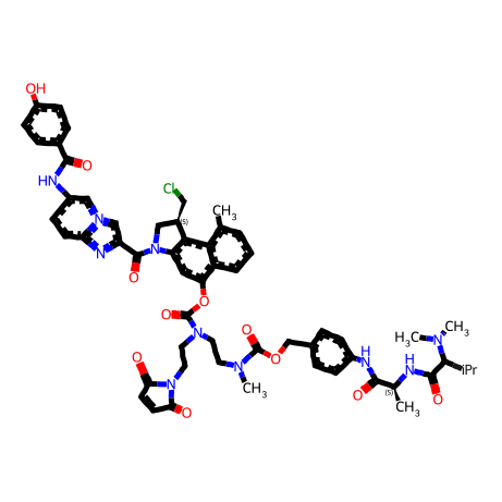 Cc1cccc2c(OC(=O)N(CCN(C)C(=O)OCc3ccc(NC(=O)[C@H](C)NC(=O)C(C(C)C)N(C)C)cc3)CCN3C(=O)C=CC3=O)cc3c(c12)[C@H](CCl)CN3C(=O)c1cn2cc(NC(=O)c3ccc(O)cc3)ccc2n1